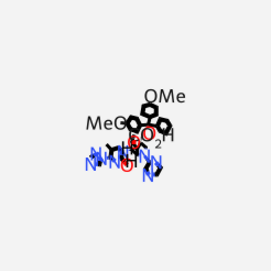 COc1ccc(C(OC[C@@]23CN(c4cnccn4)[C@@H]([C@H](n4cc(C)c(-n5cncn5)nc4=O)O2)[C@@H]3CC(=O)O)(c2ccccc2)c2ccc(OC)cc2)cc1